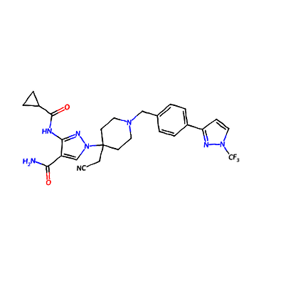 N#CCC1(n2cc(C(N)=O)c(NC(=O)C3CC3)n2)CCN(Cc2ccc(-c3ccn(C(F)(F)F)n3)cc2)CC1